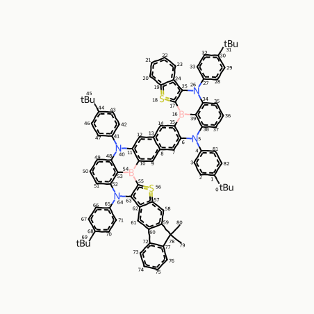 CC(C)(C)c1ccc(N2c3cc4cc5c(cc4cc3B3c4sc6ccccc6c4N(c4ccc(C(C)(C)C)cc4)c4cccc2c43)N(c2ccc(C(C)(C)C)cc2)c2cccc3c2B5c2sc4cc5c(cc4c2N3c2ccc(C(C)(C)C)cc2)-c2ccccc2C5(C)C)cc1